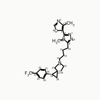 Cc1ncoc1-c1nnc(CCCCN2CC[C@@]3(C[C@H]3c3ccc(C(F)(F)F)cc3)C2)n1C